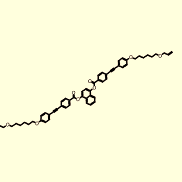 C=CCOCCCCCCOc1ccc(C#Cc2ccc(C(=O)Oc3ccc(OC(=O)c4ccc(C#Cc5ccc(OCCCCCCOCC=C)cc5)cc4)c4ccccc34)cc2)cc1